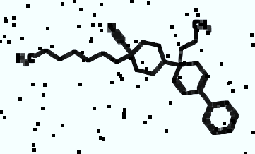 CCCCCCCC1(C#N)CCC(C2(CCC)C=CC(c3ccccc3)=CC2)CC1